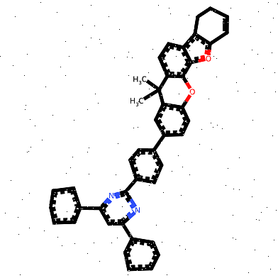 CC1(C)c2cc(-c3ccc(-c4nc(-c5ccccc5)cc(-c5ccccc5)n4)cc3)ccc2Oc2c1ccc1c3c(oc21)C=CCC3